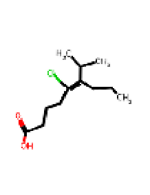 CCC/C(=C(/Cl)CCCC(=O)O)C(C)C